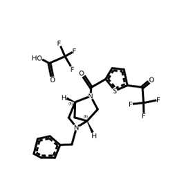 O=C(O)C(F)(F)F.O=C(c1ccc(C(=O)C(F)(F)F)s1)N1C[C@H]2C[C@@H]1CN2Cc1ccccc1